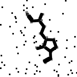 C=CC1CCN(CCN(C)C=O)N1C